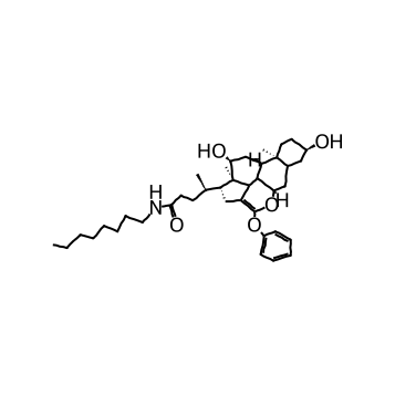 CCCCCCCCNC(=O)CC[C@@H](C)[C@H]1CC2=C(Oc3ccccc3)O[C@@H]3CC4C[C@H](O)CC[C@]4(C)[C@H]4C[C@H](O)[C@@]1(C)C2C34